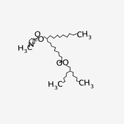 CCCCCCCCCCC(CCCCCCCCC(=O)OCCC(CCCCC)CCCCC)COC(=O)[C@@H]1CCN(C)C1